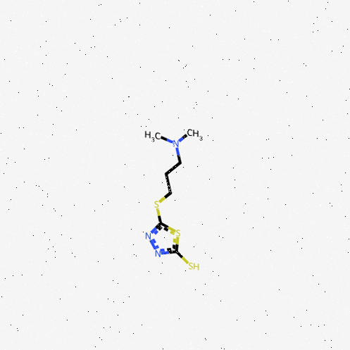 CN(C)CCCSc1nnc(S)s1